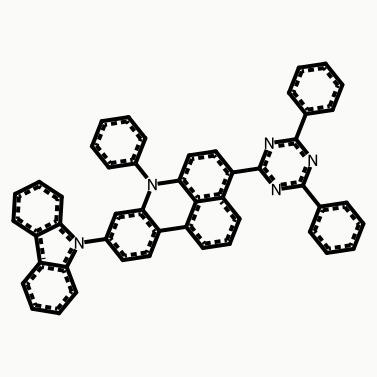 c1ccc(-c2nc(-c3ccccc3)nc(-c3ccc4c5c(cccc35)-c3ccc(-n5c6ccccc6c6ccccc65)cc3N4c3ccccc3)n2)cc1